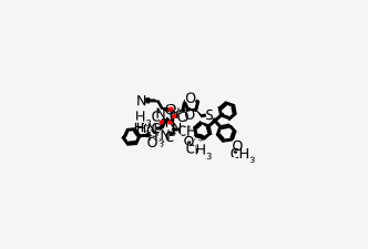 COc1ccc(C(SC[C@]23COC(C2OP(OCCC#N)N(C(C)C)C(C)C)[C@H](n2cnc4c(NC(=O)c5ccccc5)ncnc42)O3)(c2ccccc2)c2ccc(OC)cc2)cc1